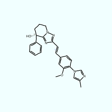 COc1cc(/C=C/c2nc3n(n2)CCC[C@]3(O)c2ccccc2)ccc1-n1cnc(C)c1